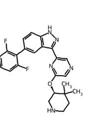 CC1(C)CCNC[C@H]1Oc1cncc(-c2n[nH]c3ccc(-c4c(F)cccc4F)cc23)n1